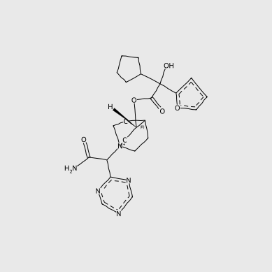 NC(=O)C(c1ncncn1)[N+]12CCC(CC1)[C@@H](OC(=O)C(O)(c1ccco1)C1CCCC1)C2